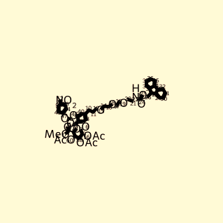 COC(=O)[C@H]1O[C@@H](Oc2cc(CCCOCCOCCOCCNC(=O)OCC3c4ccccc4-c4ccccc43)ccc2COC(=O)Oc2ccc([N+](=O)[O-])cc2)[C@H](OC(C)=O)[C@@H](OC(C)=O)[C@@H]1OC(C)=O